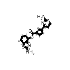 Nc1nccc(-c2ccc(C(=O)Oc3cccc4sc(N)nc34)s2)n1